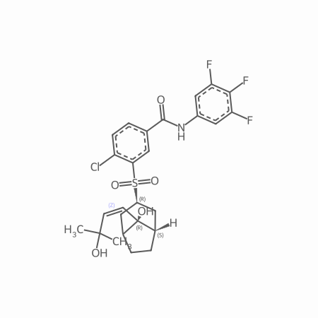 CC(C)(O)/C=C\[C@@]1(O)C2CC[C@H]1C[C@H](S(=O)(=O)c1cc(C(=O)Nc3cc(F)c(F)c(F)c3)ccc1Cl)C2